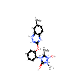 COc1ccc2nc(Oc3ccccc3-n3c(OC)[n+]([O-])n(C)c3=O)nnc2c1